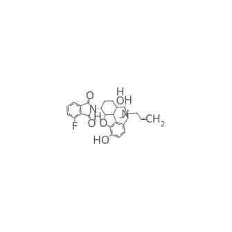 C=CCN1CC[C@]23c4c5ccc(O)c4O[C@H]2[C@H](N2C(=O)c4cccc(F)c4C2=O)CC[C@@]3(O)[C@H]1C5